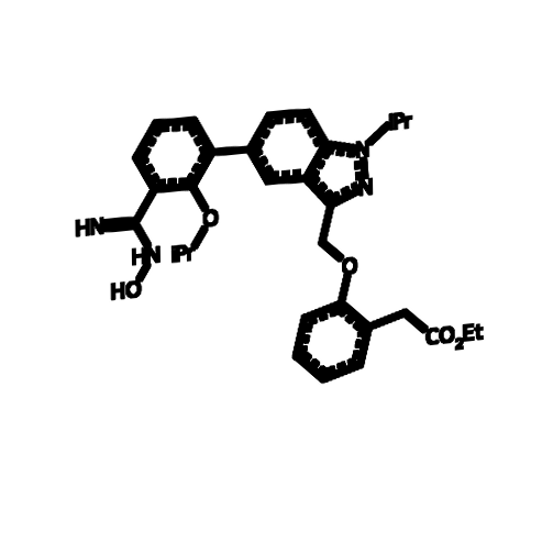 CCOC(=O)Cc1ccccc1OCc1nn(C(C)C)c2ccc(-c3cccc(C(=N)NO)c3OC(C)C)cc12